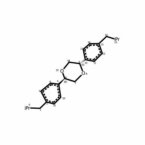 CC(C)Cc1ccc([C@@H]2CO[C@@H](c3ccc(CC(C)C)cc3)CO2)cc1